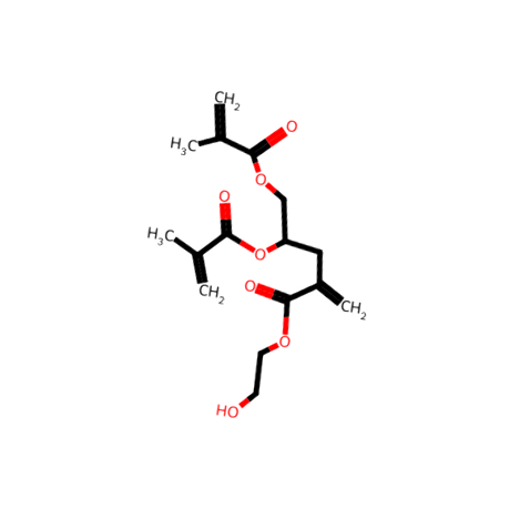 C=C(C)C(=O)OCC(CC(=C)C(=O)OCCO)OC(=O)C(=C)C